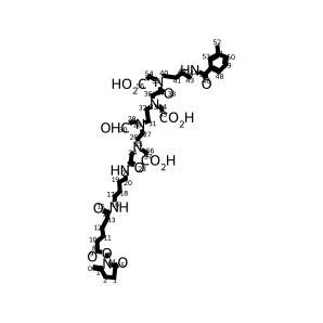 C=C1CCC(=O)N1OC(=O)CCCCC(=O)NCCCCNC(=O)CN(CCN(CC=O)CCN(CC(=O)O)CC(=O)N(CCCCNC(=O)c1cccc(C)c1)CC(=O)O)CC(=O)O